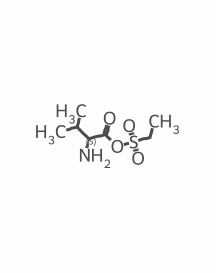 CCS(=O)(=O)OC(=O)[C@@H](N)C(C)C